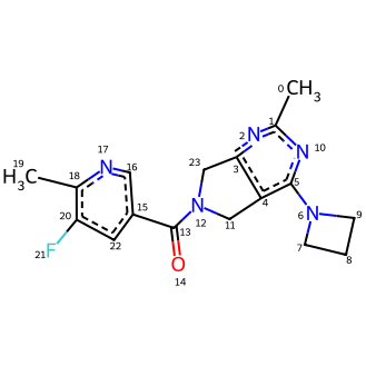 Cc1nc2c(c(N3CCC3)n1)CN(C(=O)c1cnc(C)c(F)c1)C2